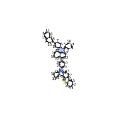 c1ccc(N(c2ccc(-c3ccc4ccccc4c3)cc2)c2ccc(-c3ccc(-n4c5ccccc5c5c6sc7ccccc7c6ccc54)cc3)c3ccccc23)cc1